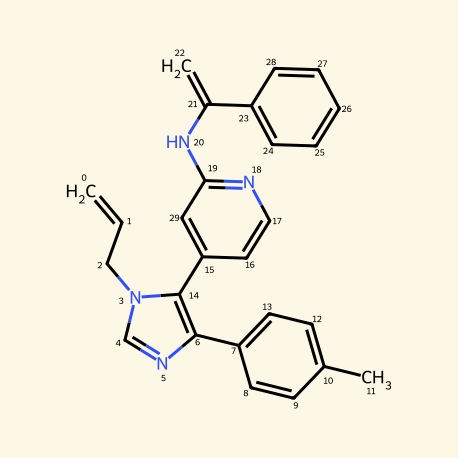 C=CCn1cnc(-c2ccc(C)cc2)c1-c1ccnc(NC(=C)c2ccccc2)c1